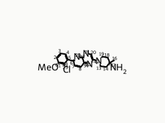 COc1cccc(-c2ccc3nc(N4CCC(C)(N)CC4)cnc3n2)c1Cl